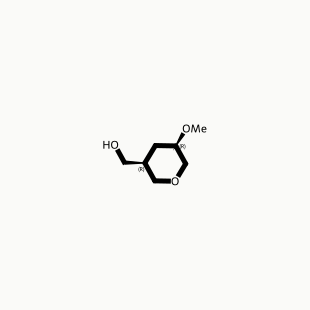 CO[C@H]1COC[C@@H](CO)C1